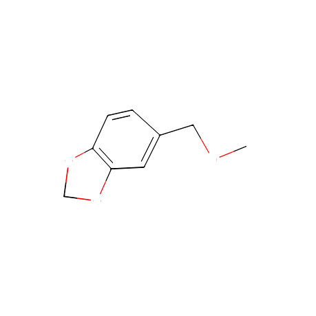 [CH2]OCc1ccc2c(c1)OCO2